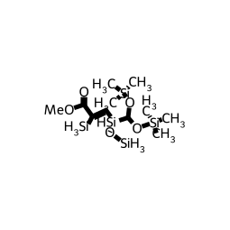 COC(=O)C([SiH3])=C[SiH](O[SiH3])C(O[Si](C)(C)C)O[Si](C)(C)C